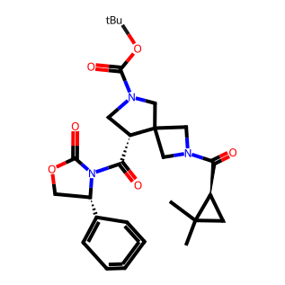 CC(C)(C)OC(=O)N1C[C@@H](C(=O)N2C(=O)OC[C@H]2C2=CC=C=C=C2)C2(C1)CN(C(=O)[C@H]1CC1(C)C)C2